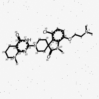 CN(C)CCOc1ccc(Cl)c2c1N(C)C(=O)C21CCN(c2nc3c(c(=O)[nH]2)CCCN3C)CC1